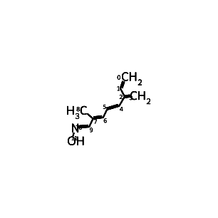 C=CC(=C)/C=C/C=C(C)/C=N/O